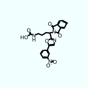 O=C(O)NCCCC(c1ncc(-c2cccc([N+](=O)[O-])c2)o1)N1C(=O)c2ccccc2C1=O